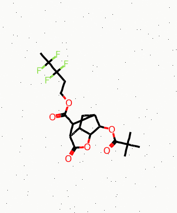 CC(C)(C)C(=O)OC1C2CC3C1OC(=O)C3C2C(=O)OCCC(F)(F)C(C)(F)F